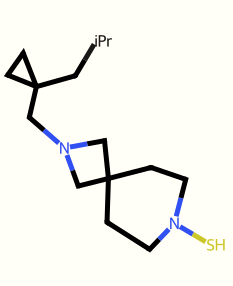 CC(C)CC1(CN2CC3(CCN(S)CC3)C2)CC1